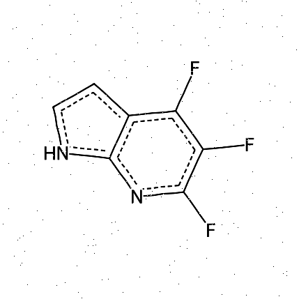 Fc1nc2[nH]ccc2c(F)c1F